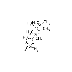 C=C(O[Si](C)(C)C)[Si](C)(C)OC(CC)[Si](C)(C)C